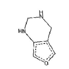 c1occ2c1CNCN2